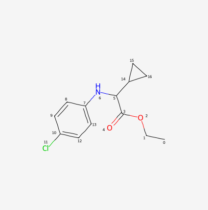 CCOC(=O)C(Nc1ccc(Cl)cc1)C1CC1